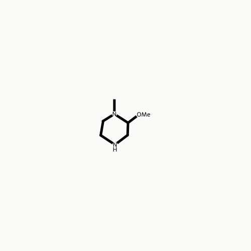 COC1CNC[CH]N1C